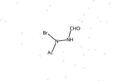 CC(=O)N(Br)N[C]=O